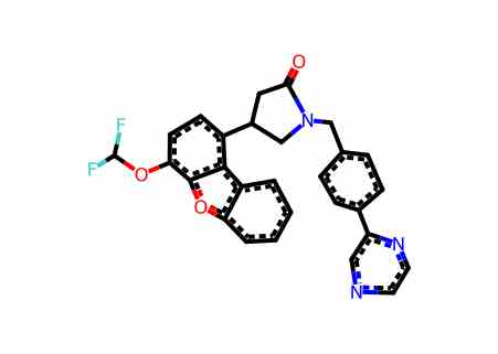 O=C1CC(c2ccc(OC(F)F)c3oc4ccccc4c23)CN1Cc1ccc(-c2cnccn2)cc1